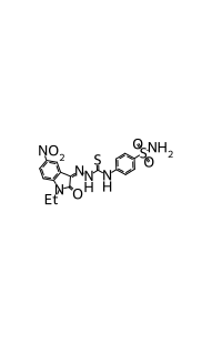 CCN1C(=O)C(=NNC(=S)Nc2ccc(S(N)(=O)=O)cc2)c2cc([N+](=O)[O-])ccc21